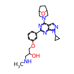 CNCC(O)COc1cccc(-c2nc(N3CC4CCC(C3)O4)c3cnn(C4CC4)c3n2)c1